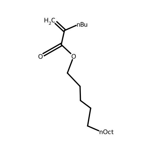 C=C(CCCC)C(=O)OCCCCCCCCCCCCC